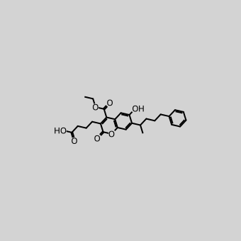 CCOC(=O)c1c(CCCC(=O)O)c(=O)oc2cc(C(C)CCCc3ccccc3)c(O)cc12